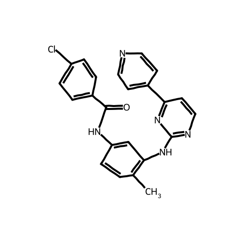 Cc1ccc(NC(=O)c2ccc(Cl)cc2)cc1Nc1nccc(-c2ccncc2)n1